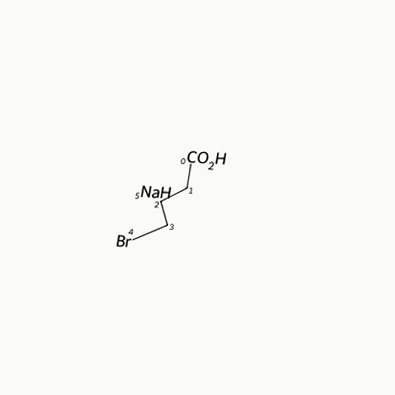 O=C(O)CCCBr.[NaH]